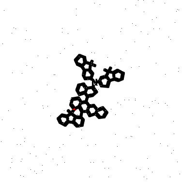 CC1(C)c2ccccc2-c2ccc(N(c3ccc4c(c3)C(C)(C)c3ccccc3-4)c3ccc(-c4c5ccccc5c(-c5cccc6c5C(C)(C)c5ccccc5-6)c5cc6ccccc6cc45)c4ccccc34)cc21